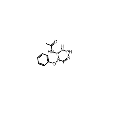 CC(=O)Np1[nH][pH]npn1Oc1ccccc1